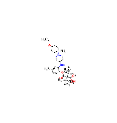 CCOC1CCC(C)(N2CCC(Nc3cc(C)ccc3OC(=O)C(C(=O)O)(C(C)(C)C)C(C)(C)C)CC2)CC1